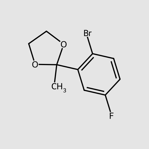 CC1(c2cc(F)ccc2Br)OCCO1